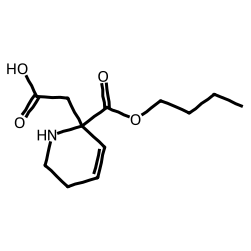 CCCCOC(=O)C1(CC(=O)O)C=CCCN1